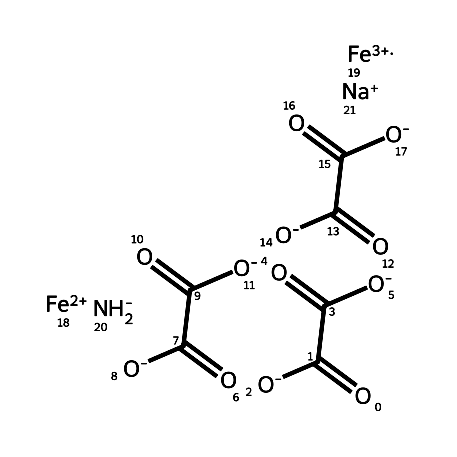 O=C([O-])C(=O)[O-].O=C([O-])C(=O)[O-].O=C([O-])C(=O)[O-].[Fe+2].[Fe+3].[NH2-].[Na+]